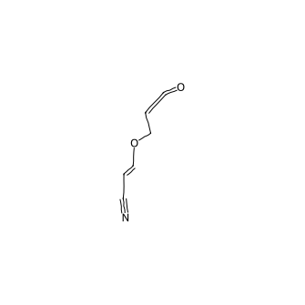 N#CC=COCC=C=O